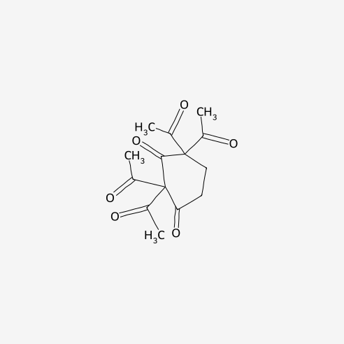 CC(=O)C1(C(C)=O)CCC(=O)C(C(C)=O)(C(C)=O)C1=O